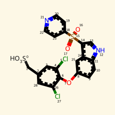 O=S(=O)(O)Cc1cc(Cl)c(Oc2ccc3[nH]cc(S(=O)(=O)c4ccncc4)c3c2)c(Cl)c1